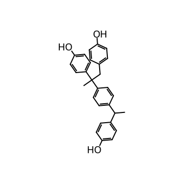 CC(c1ccc(O)cc1)c1ccc(C(C)(Cc2ccc(O)cc2)c2ccc(O)cc2)cc1